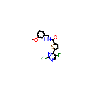 COc1cccc(CNC(=O)c2ccc(-c3nc(Cl)ncc3F)s2)c1